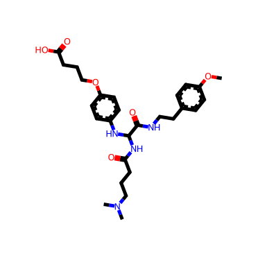 COc1ccc(CCNC(=O)C(NC(=O)CCCN(C)C)Nc2ccc(OCCCC(=O)O)cc2)cc1